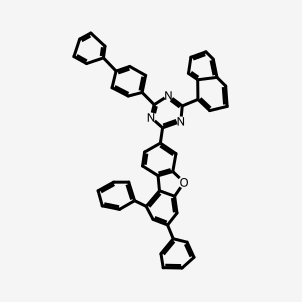 c1ccc(-c2ccc(-c3nc(-c4ccc5c(c4)oc4cc(-c6ccccc6)cc(-c6ccccc6)c45)nc(-c4cccc5ccccc45)n3)cc2)cc1